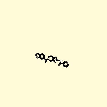 CC(c1ccc2c(c1)OCC2)N1CCc2nc(NC(=O)c3cccnc3)oc2C1